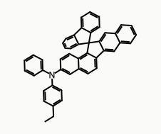 CCc1ccc(N(c2ccccc2)c2ccc3c4c(ccc3c2)-c2cc3ccccc3cc2C42c3ccccc3-c3ccccc32)cc1